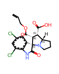 C=CCOC(=O)[C@@H]1[C@H](C(=O)O)[C@@H]2CCCN2[C@@]12C(=O)Nc1c(Cl)cc(Cl)cc12